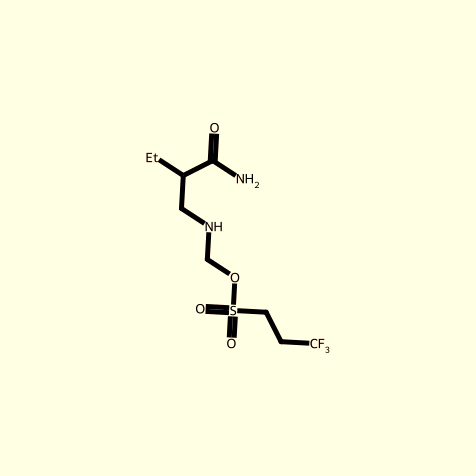 CCC(CNCOS(=O)(=O)CCC(F)(F)F)C(N)=O